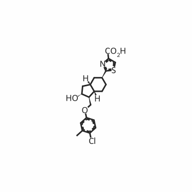 Cc1cc(OC[C@@H]2[C@H]3CC[C@H](c4nc(C(=O)O)cs4)C[C@H]3C[C@H]2O)ccc1Cl